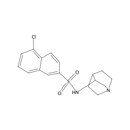 O=S(=O)(NC1CN2CCC1CC2)c1ccc2c(Cl)cccc2c1